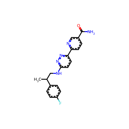 CC(CNc1ccc(-c2ccc(C(N)=O)cn2)nn1)c1ccc(F)cc1